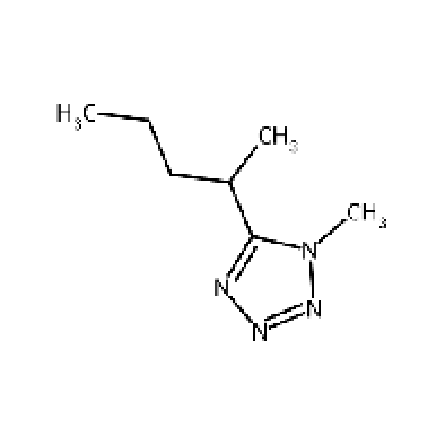 CCCC(C)c1nnnn1C